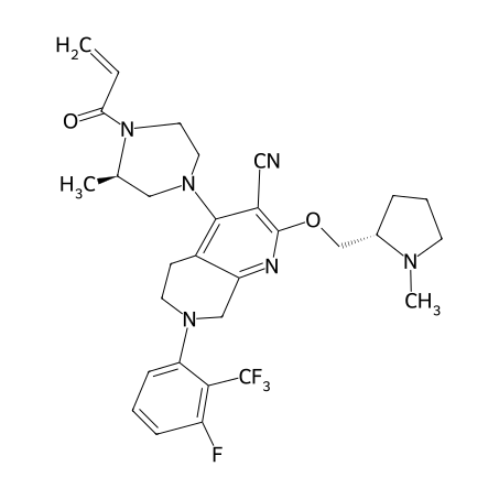 C=CC(=O)N1CCN(c2c(C#N)c(OC[C@@H]3CCCN3C)nc3c2CCN(c2cccc(F)c2C(F)(F)F)C3)C[C@H]1C